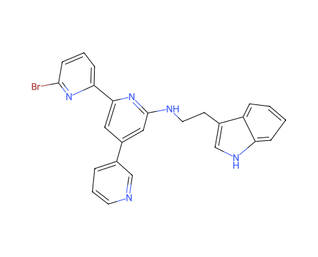 Brc1cccc(-c2cc(-c3cccnc3)cc(NCCc3c[nH]c4ccccc34)n2)n1